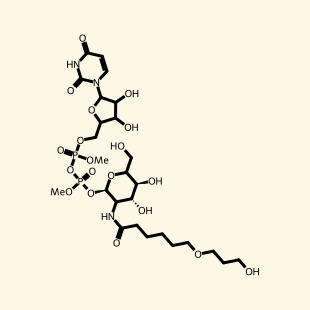 COP(=O)(OCC1OC(n2ccc(=O)[nH]c2=O)C(O)C1O)OP(=O)(OC)O[C@H]1OC(CO)[C@@H](O)[C@H](O)C1NC(=O)CCCCCOCCCO